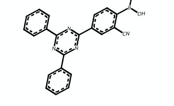 N#Cc1cc(-c2nc(-c3ccccc3)nc(-c3ccccc3)n2)ccc1B(O)O